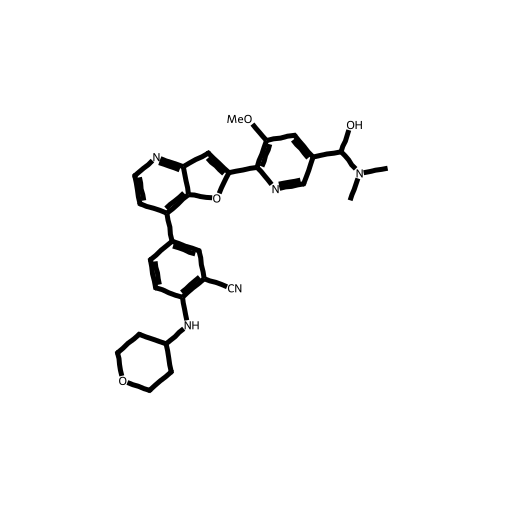 COc1cc(C(O)N(C)C)cnc1-c1cc2nccc(-c3ccc(NC4CCOCC4)c(C#N)c3)c2o1